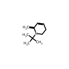 C=C1C=CCCN1C(C)(C)C